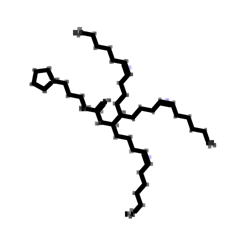 CCCCC/C=C\CCCC(CCC/C=C\CCCCC)C(CCC/C=C\CCCCC)OC(=S)NCCCN1CCCC1